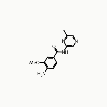 COc1cc(C(=O)Nc2cncc(C)n2)ccc1N